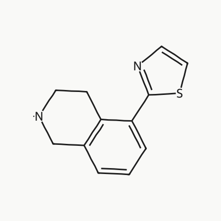 c1cc2c(c(-c3nccs3)c1)CC[N]C2